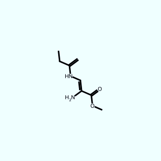 C=C(CC)N/C=C(\N)C(=O)OC